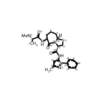 CN[C@@H](C)C(=O)NC1CCC[C@@H]2SC[C@@H](C(=O)Nc3cc(C)nn3-c3ccccc3)N2C1=O